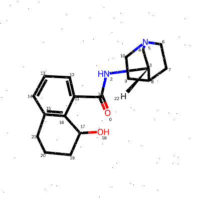 O=C(N[C@@H]1CN2CCC1CC2)c1cccc2c1C(O)CCC2